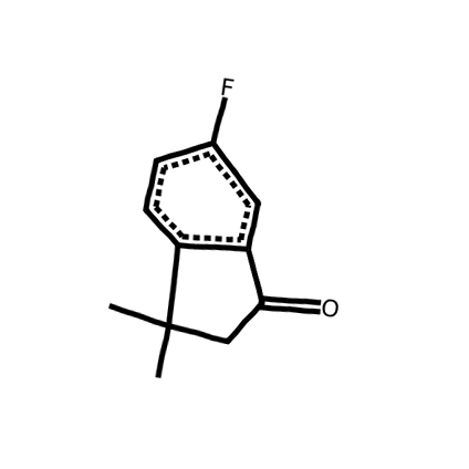 CC1(C)CC(=O)c2cc(F)ccc21